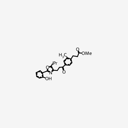 COC(=O)CCc1ccc(C(=O)CCc2nc(-c3ccccc3O)oc2C(C)C)cc1C